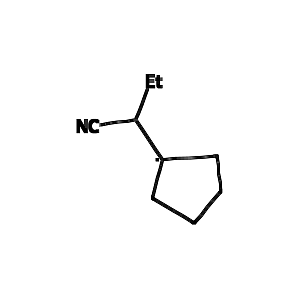 CCC(C#N)[C]1CCCC1